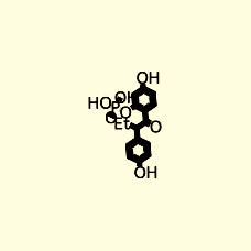 CCC(C(=O)c1ccc(O)cc1OP(=O)(O)O)c1ccc(O)cc1